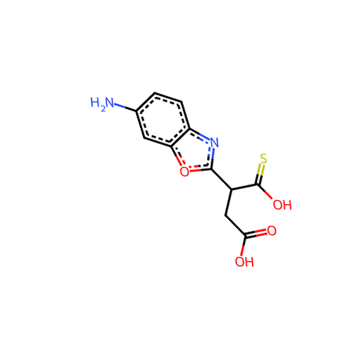 Nc1ccc2nc(C(CC(=O)O)C(O)=S)oc2c1